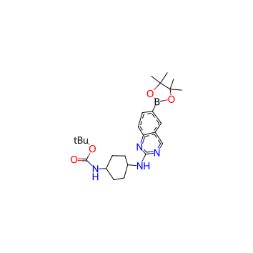 CC(C)(C)OC(=O)NC1CCC(Nc2ncc3cc(B4OC(C)(C)C(C)(C)O4)ccc3n2)CC1